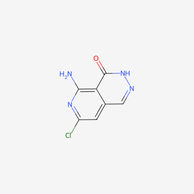 Nc1nc(Cl)cc2cn[nH]c(=O)c12